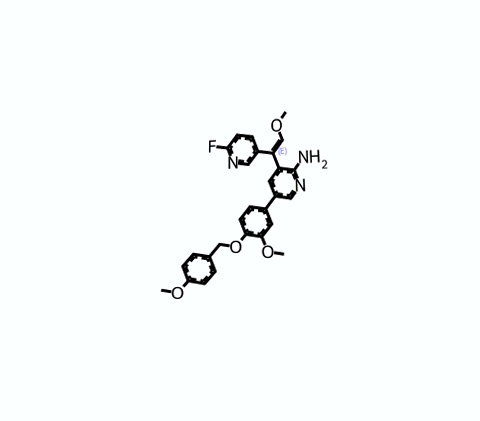 CO/C=C(\c1ccc(F)nc1)c1cc(-c2ccc(OCc3ccc(OC)cc3)c(OC)c2)cnc1N